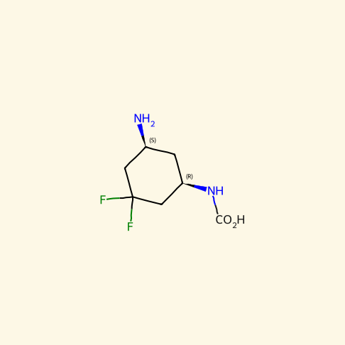 N[C@H]1C[C@@H](NC(=O)O)CC(F)(F)C1